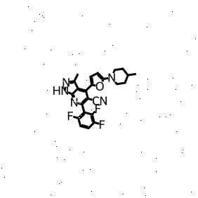 Cc1n[nH]c2nc(-c3c(F)ccc(F)c3F)c(C#N)c(-c3ccc(N4CCC(C)CC4)o3)c12